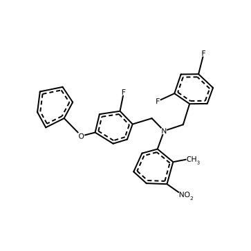 Cc1c(N(Cc2ccc(F)cc2F)Cc2ccc(Oc3ccccc3)cc2F)cccc1[N+](=O)[O-]